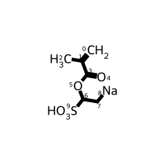 C=C(C)C(=O)OC([CH2][Na])S(=O)(=O)O